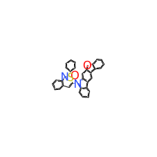 O=S1(c2ccccc2)=Nc2ccccc2C=C1n1c2ccccc2c2cc3c(cc21)oc1ccccc13